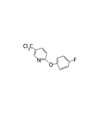 Fc1ccc(Oc2ccc(C(Cl)(Cl)Cl)cn2)cc1